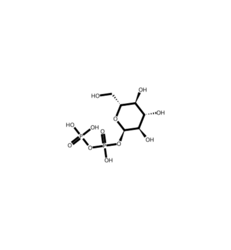 O=P(O)(O)OP(=O)(O)O[C@H]1O[C@H](CO)[C@@H](O)[C@H](O)[C@H]1O